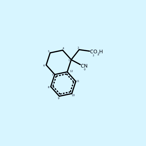 N#CC1(CC(=O)O)CCCc2ccccc21